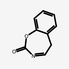 O=C1N=CCc2ccccc2O1